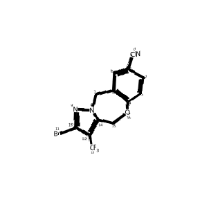 N#Cc1ccc2c(c1)Cn1nc(Br)c(C(F)(F)F)c1CO2